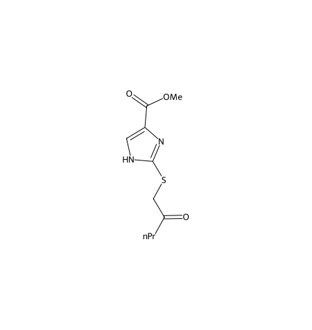 CCCC(=O)CSc1nc(C(=O)OC)c[nH]1